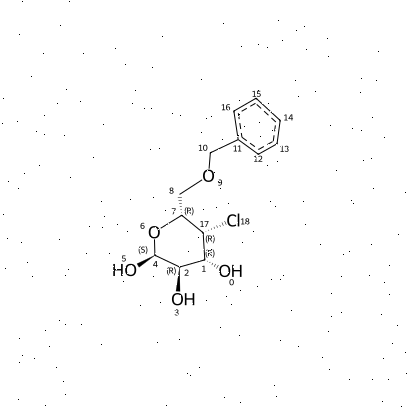 O[C@@H]1[C@@H](O)[C@@H](O)O[C@H](COCc2ccccc2)[C@@H]1Cl